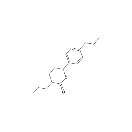 CCCc1ccc(C2CCC(CCC)C(=O)O2)cc1